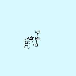 [Al+3].[Cl-].[Cl-].[Cl-].[Cl][Ni][Cl]